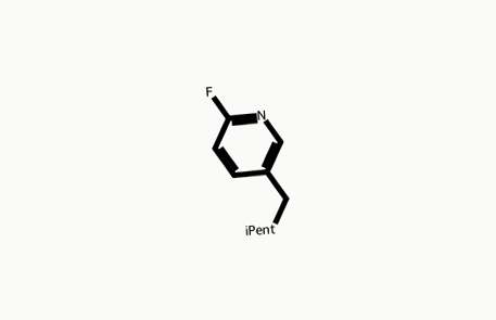 CCCC(C)Cc1ccc(F)nc1